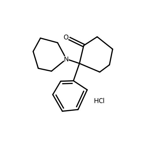 Cl.O=C1CCCCC1(c1ccccc1)N1CCCCC1